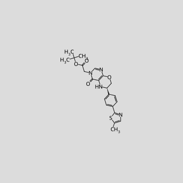 Cc1cnc(-c2ccc([C@@H]3COc4ncn(CC(=O)OC(C)(C)C)c(=O)c4N3)cc2)s1